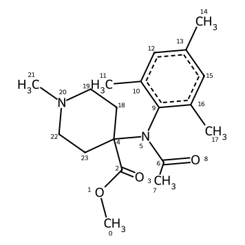 COC(=O)C1(N(C(C)=O)c2c(C)cc(C)cc2C)CCN(C)CC1